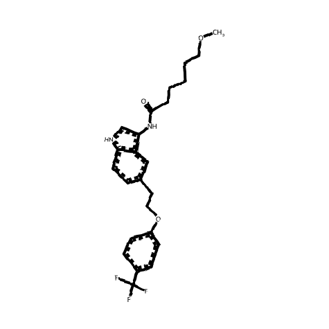 COCCCCCC(=O)Nc1c[nH]c2ccc(CCOc3ccc(C(F)(F)F)cc3)cc12